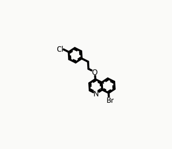 Clc1ccc(CCOc2ccnc3c(Br)cccc23)cc1